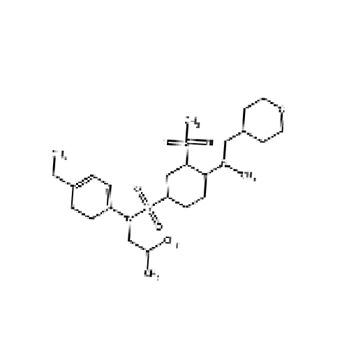 CCC1=CC=C(N(CC(C)C)S(=O)(=O)C2CCC(N(C)CC3CCOCC3)C(S(C)(=N)=O)C2)CC1